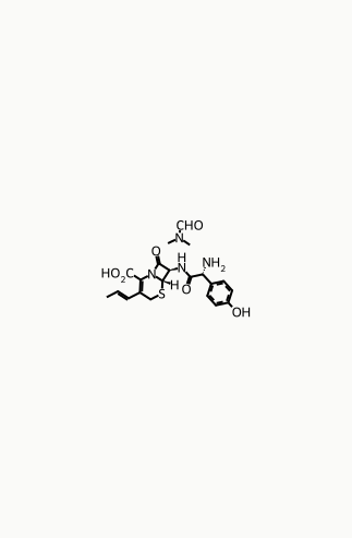 CC=CC1=C(C(=O)O)N2C(=O)[C@@H](NC(=O)[C@H](N)c3ccc(O)cc3)[C@@H]2SC1.CN(C)C=O